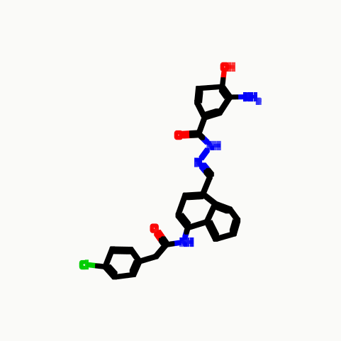 Nc1cc(C(=O)N/N=C/c2ccc(NC(=O)Cc3ccc(Cl)cc3)c3ccccc23)ccc1O